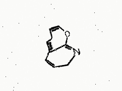 C1=COC2=NCC=CC2=C1